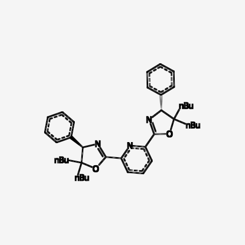 CCCCC1(CCCC)OC(c2cccc(C3=N[C@H](c4ccccc4)C(CCCC)(CCCC)O3)n2)=N[C@@H]1c1ccccc1